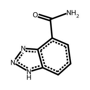 NC(=O)c1cccc2[nH]nnc12